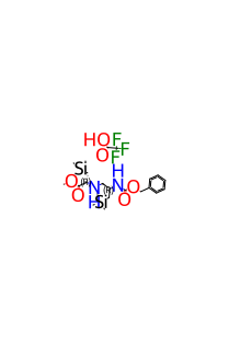 COC(=O)[C@H](C[Si](C)(C)C)NC[C@H](C[Si](C)(C)C)NC(=O)OCc1ccccc1.O=C(O)C(F)(F)F